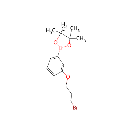 CC1(C)OB(c2cccc(OCCCBr)c2)OC1(C)C